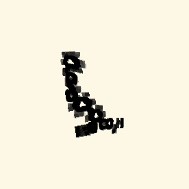 CCOc1cc(-c2ccc(OCCOCc3ccccc3)cc2)ccc1C(=O)O